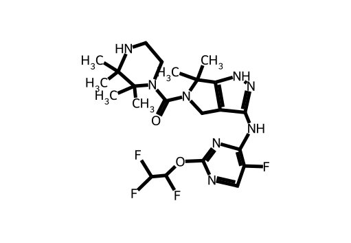 CC1(C)c2[nH]nc(Nc3nc(OC(F)C(F)F)ncc3F)c2CN1C(=O)N1CCNC(C)(C)C1(C)C